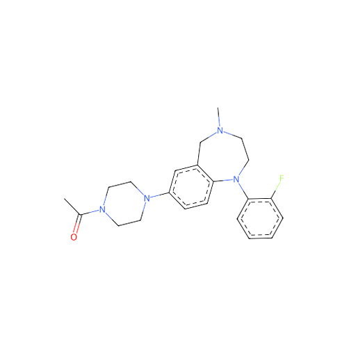 CC(=O)N1CCN(c2ccc3c(c2)CN(C)CCN3c2ccccc2F)CC1